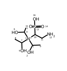 CC(O)[N+](C(C)O)(C(C)O)C(CN)S(=O)(=O)O